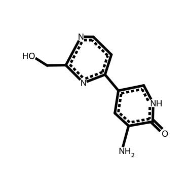 Nc1cc(-c2ccnc(CO)n2)c[nH]c1=O